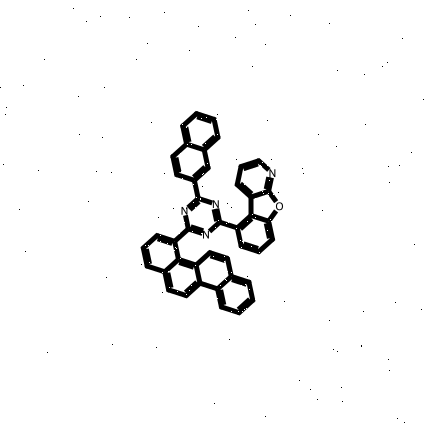 c1ccc2cc(-c3nc(-c4cccc5ccc6c7ccccc7ccc6c45)nc(-c4cccc5oc6ncccc6c45)n3)ccc2c1